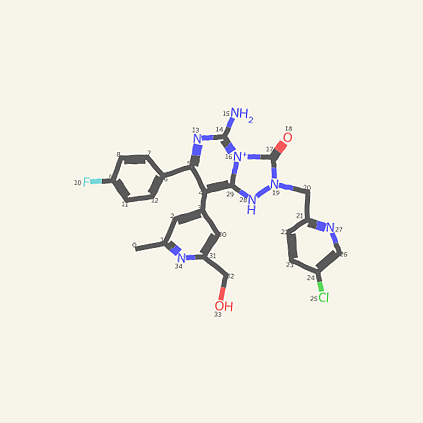 Cc1cc(-c2c(-c3ccc(F)cc3)nc(N)[n+]3c(=O)n(Cc4ccc(Cl)cn4)[nH]c23)cc(CO)n1